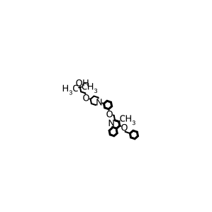 Cc1c(COc2cccc(N3CCC(OCCC(C)(C)O)CC3)c2)nc2ccccc2c1OCc1ccccc1